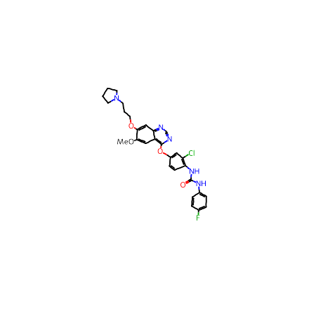 COc1cc2c(Oc3ccc(NC(=O)Nc4ccc(F)cc4)c(Cl)c3)ncnc2cc1OCCCN1CCCC1